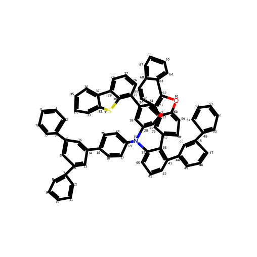 c1ccc(-c2cc(-c3ccccc3)cc(-c3ccc(N(c4cccc(-c5cccc6c5sc5ccccc56)c4)c4cccc(-c5cccc(-c6ccccc6)c5)c4-c4ccc5oc6c7ccccc7ccc6c5c4)cc3)c2)cc1